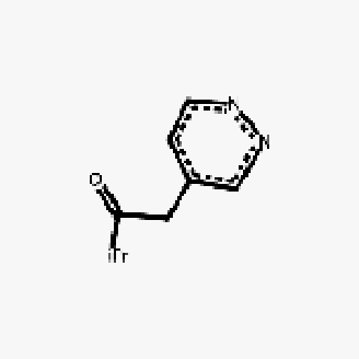 CC(C)C(=O)Cc1ccnnc1